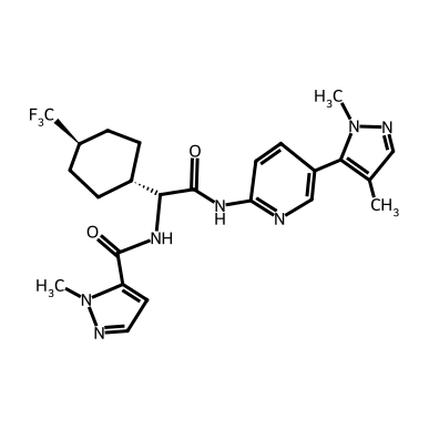 Cc1cnn(C)c1-c1ccc(NC(=O)C(NC(=O)c2ccnn2C)[C@H]2CC[C@H](C(F)(F)F)CC2)nc1